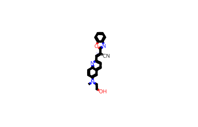 CN(CCO)c1ccc2nc(/C=C(\C#N)c3nc4ccccc4o3)ccc2c1